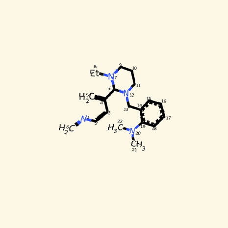 C=N/C=C\C(=C)C1N(CC)CCCN1Cc1ccccc1N(C)C